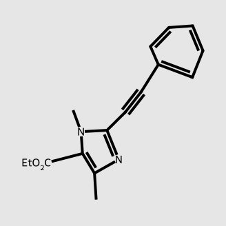 CCOC(=O)c1c(C)nc(C#Cc2ccccc2)n1C